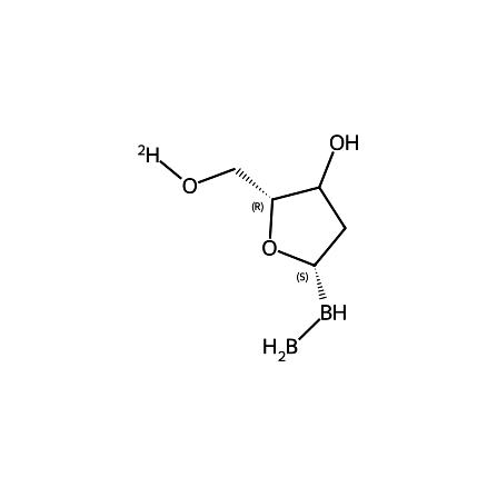 [2H]OC[C@H]1O[C@@H](BB)CC1O